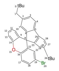 CC(C)(C)Cc1ccc2c(c1)C1(c3ccccc3Oc3ccc(Br)cc31)c1cc(C(C)(C)C)ccc1-2